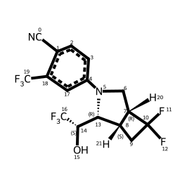 N#Cc1ccc(N2C[C@H]3[C@H](CC3(F)F)[C@@H]2[C@H](O)C(F)(F)F)cc1C(F)(F)F